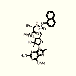 COC(=O)[C@@H](NP(=O)(OC[C@H]1O[C@@H](n2c(I)nc3c(OC)nc(N)nc32)[C@](C)(O)[C@@H]1O)Oc1cccc2ccccc12)C(C)C